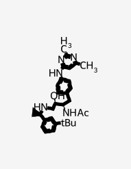 CC(=O)N[C@@H](Cc1ccc(Nc2cc(C)nc(C)n2)cc1)[C@@H](O)CNC1(c2cccc(C(C)(C)C)c2)CC1